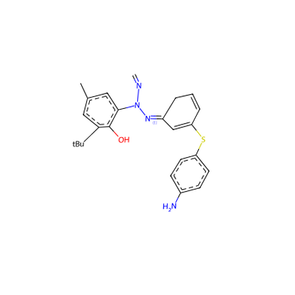 C=NN(/N=C1/C=C(Sc2ccc(N)cc2)C=CC1)c1cc(C)cc(C(C)(C)C)c1O